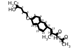 C=C(O)CCCOc1ccc2cc(/C=C(\C)C(=O)NC(C)=O)ccc2c1